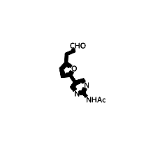 CC(=O)Nc1ncc(-c2ccc(CCC=O)o2)cn1